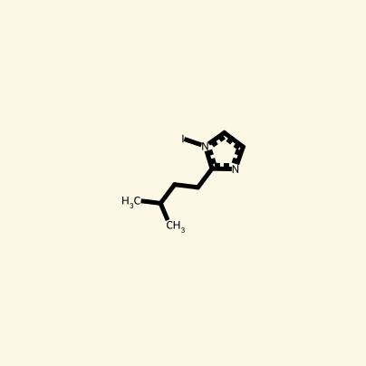 CC(C)CCc1nccn1I